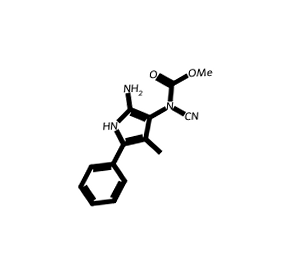 COC(=O)N(C#N)c1c(N)[nH]c(-c2ccccc2)c1C